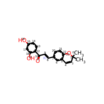 CC1(C)C=Cc2cc(/C=C/C(=O)c3ccc(O)cc3O)ccc2O1